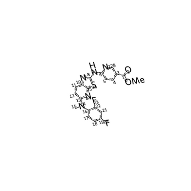 COC(=O)c1ccc(Nc2nc3ccc(N(C)c4ccc(F)cc4F)nc3s2)nc1